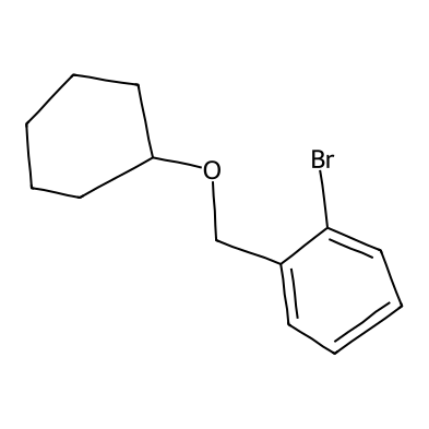 Brc1ccccc1COC1CCCCC1